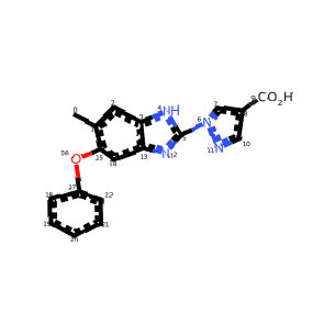 Cc1cc2[nH]c(-n3cc(C(=O)O)cn3)nc2cc1Oc1ccccc1